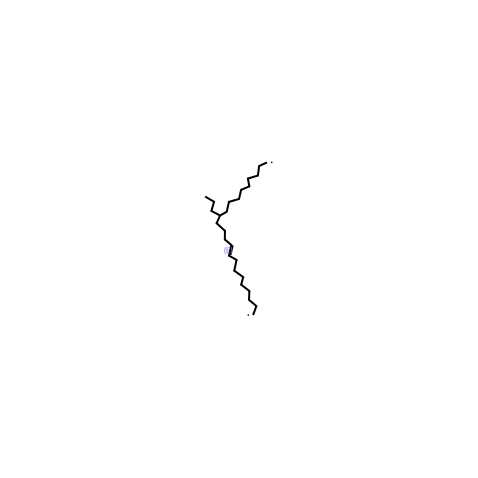 [CH2]CCCCCCC/C=C/CCCC(CCC)CCCCCCCC[CH2]